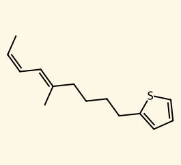 C/C=C\C=C(/C)CCCCc1cccs1